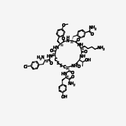 COc1ccc(C[C@@H]2NC(=O)[C@H](NC(=O)[C@@H](N)Cc3ccc(Cl)cc3)CSSC[C@@H](C(=O)N[C@H](Cc3ccc(O)cc3)C(N)=O)NC(=O)C(C(C)O)NC(=O)[C@H](CCCCN)NC(=O)[C@@H](Cc3ccc(C(N)=O)cc3)NC2=O)cc1